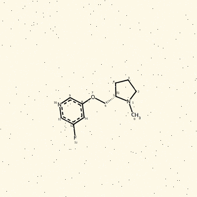 CN1CCC[C@H]1COc1cncc(F)c1